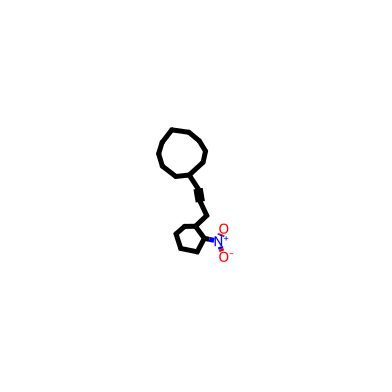 O=[N+]([O-])C1CCCCC1CC#CC1CCCCCCCCC1